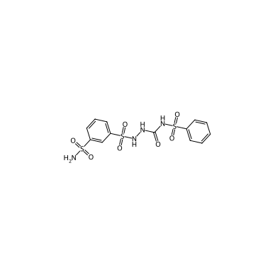 NS(=O)(=O)c1cccc(S(=O)(=O)NNC(=O)NS(=O)(=O)c2ccccc2)c1